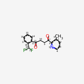 Cc1cccnc1C(=O)CCC(=O)c1ccccc1C(F)F